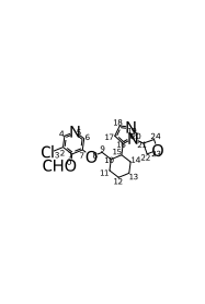 O=Cc1c(Cl)cncc1OCC1CCCCC1c1ccnn1C1COC1